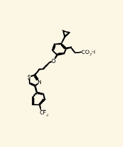 O=C(O)CCc1cc(OCCCc2nc(-c3ccc(C(F)(F)F)cc3)cs2)ccc1C1CC1